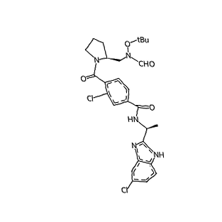 C[C@H](NC(=O)c1ccc(C(=O)N2CCC[C@H]2CN(C=O)OC(C)(C)C)c(Cl)c1)c1nc2cc(Cl)ccc2[nH]1